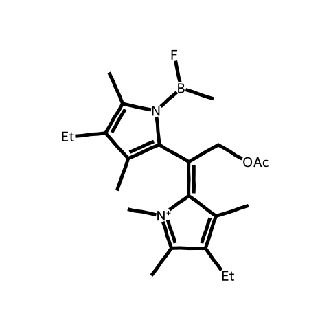 CCC1=C(C)/C(=C(\COC(C)=O)c2c(C)c(CC)c(C)n2B(C)F)[N+](C)=C1C